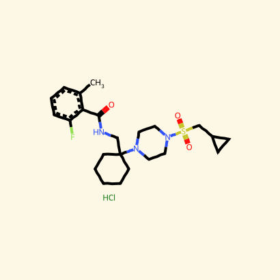 Cc1cccc(F)c1C(=O)NCC1(N2CCN(S(=O)(=O)CC3CC3)CC2)CCCCC1.Cl